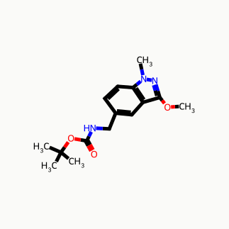 COc1nn(C)c2ccc(CNC(=O)OC(C)(C)C)cc12